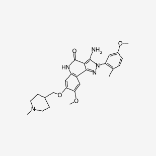 COc1ccc(C)c(-n2nc3c(c2N)c(=O)[nH]c2cc(OCC4CCN(C)CC4)c(OC)cc23)c1